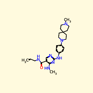 C=CCNC(=O)c1cnc(Nc2ccc(N3CCC4(CCN(C)CC4)CC3)cc2)nc1NC